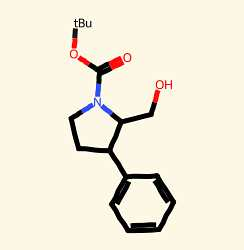 CC(C)(C)OC(=O)N1CCC(c2ccccc2)C1CO